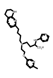 Cc1ccc(OCCN(CCCCc2ccc3c(n2)NCCC3)CCC(Nc2cccnc2)C(=O)O)cn1